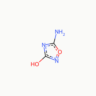 Nc1nc(O)no1